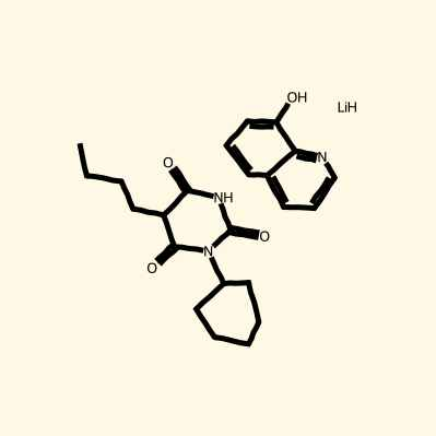 CCCCC1C(=O)NC(=O)N(C2CCCCC2)C1=O.Oc1cccc2cccnc12.[LiH]